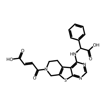 O=C(O)/C=C/C(=O)N1CCc2c(sc3ncnc(N[C@H](C(=O)O)c4ccccc4)c23)C1